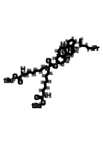 CC(C)CCCC(C)[C@H]1CC[C@H]2[C@@H]3CC=C4C[C@@H](OC(=O)N(CCCCCCNC(=O)OC(C)(C)C)CCCCCCNC(=O)OC(C)(C)C)CC[C@]4(C)[C@H]3CC[C@]12C